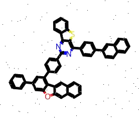 c1ccc(-c2cc(-c3ccc(-c4nc(-c5ccc(-c6ccc7ccccc7c6)cc5)c5sc6ccccc6c5n4)cc3)c3c(c2)oc2cc4ccccc4cc23)cc#1